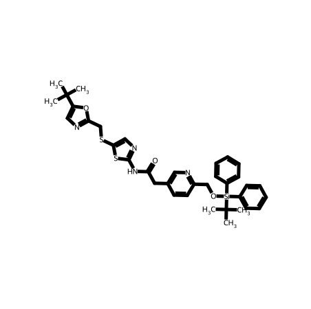 CC(C)(C)c1cnc(CSc2cnc(NC(=O)Cc3ccc(CO[Si](c4ccccc4)(c4ccccc4)C(C)(C)C)nc3)s2)o1